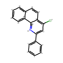 Clc1cc(-c2ccccc2)nc2c1ccc1ccccc12